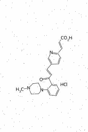 CN1CCN(c2ccccc2C(=O)/C=C/c2ccc(/C=C/C(=O)O)nc2)CC1.Cl